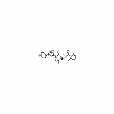 CC(=O)N[C@@H](CSC(=O)c1c(C)cccc1C)C(=O)[N-]c1c[n+](N2CCN(C)CC2)no1